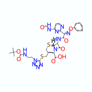 CC(C)(C)OC(=O)NCCn1nnnc1SCC1=C(C(=O)O)N2C(=O)C(NC(=O)/C(=N/Oc3ccccc3)c3nccc(NC=O)n3)[C@H]2SC1